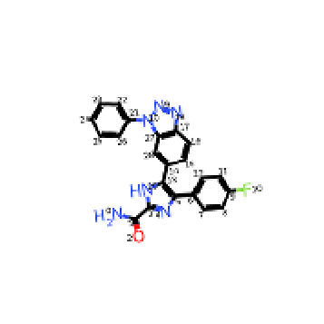 NC(=O)c1nc(-c2ccc(F)cc2)c(-c2ccc3nnn(-c4ccccc4)c3c2)[nH]1